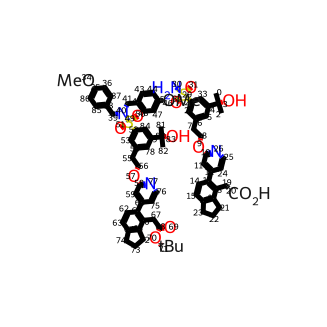 CC(C)(O)c1cc(CCOc2cc(-c3ccc4c(c3CC(=O)O)CCC4)ccn2)cc(S(N)(=O)=O)c1.COc1ccc(CN(Cc2ccc(OC)cc2)S(=O)(=O)c2cc(CCOc3cc(-c4ccc5c(c4CC(=O)OC(C)(C)C)CCC5)ccn3)cc(C(C)(C)O)c2)cc1